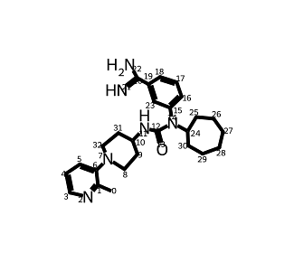 Cc1ncccc1N1CCC(NC(=O)N(c2cccc(C(=N)N)c2)C2CCCCCC2)CC1